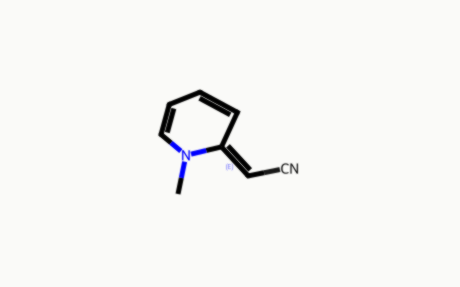 CN1C=CC=C/C1=C\C#N